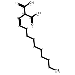 CCCCCCCCC/C=C\C(C(=O)O)C(=O)O